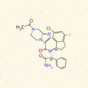 CC(=O)N1CCn2c(C(=O)N([C@@H]3CCc4c(F)cc(Cl)cc43)[C@@H](C(N)=O)c3ccccc3)cnc2C1